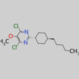 CCCCC[C@H]1CC[C@H](c2nc(Cl)c(OC)c(Cl)n2)CC1